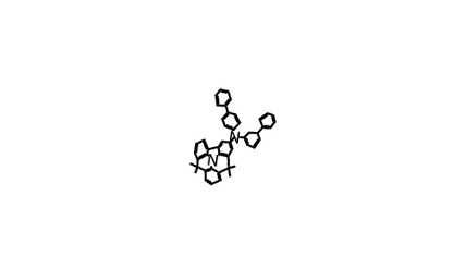 CC1(C)c2cccc3c2-n2c4c1cccc4c1cc(N(C4=CC=CC(c5ccccc5)C4)c4ccc(-c5ccccc5)cc4)cc(c12)C3(C)C